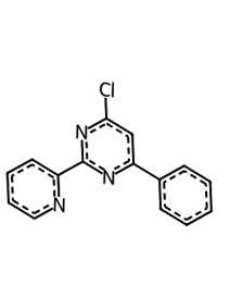 Clc1cc(-c2ccccc2)nc(-c2ccccn2)n1